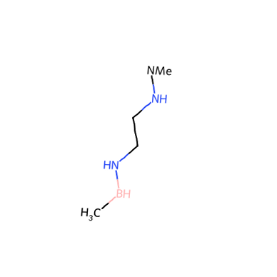 CBNCCNNC